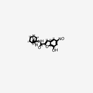 O=Nc1cc(O)c2oc(C(=O)N[C@H]3CN4CCC3CC4)cc2c1